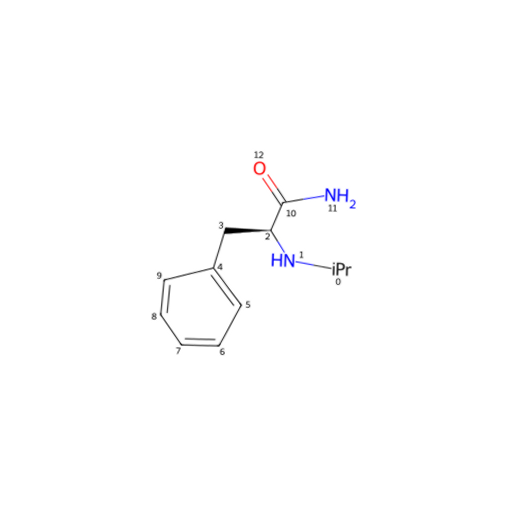 CC(C)N[C@@H](Cc1ccccc1)C(N)=O